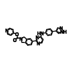 O=C(Oc1ccncc1)N1Cc2ccc(-c3nccc(Nc4ccc(-c5cn[nH]c5)cc4)n3)cc2C1